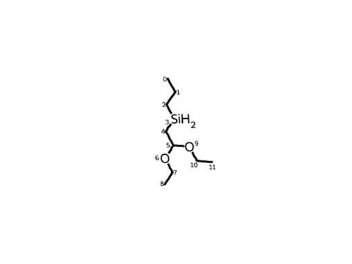 CCC[SiH2]CC(OCC)OCC